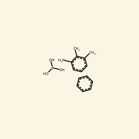 Cc1cccc(N)c1C.OB(O)O.c1ccccc1